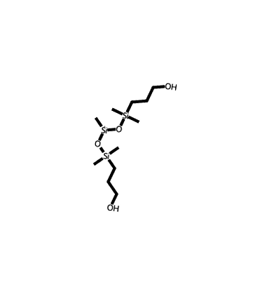 C[Si](O[Si](C)(C)CCCO)O[Si](C)(C)CCCO